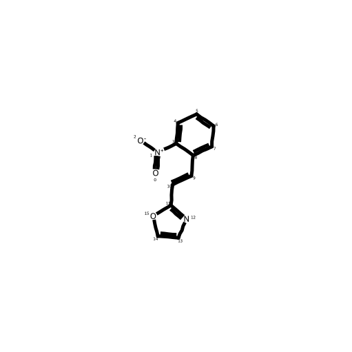 O=[N+]([O-])c1ccccc1C=Cc1ncco1